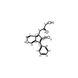 O=C(CO)Cc1c2ccocc-2c(-c2ccccc2)c1[N+](=O)[O-]